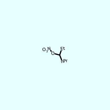 CCCC(CC)O[N+](=O)[O-]